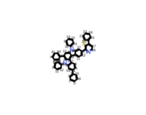 c1ccc(-c2ccc3c4c5c6ccc(-c7nccc8c7sc7ccccc78)cc6n(-c6ccccc6)c5cc(-c5ccccc5)c4n(-c4ccccc4)c3c2)cc1